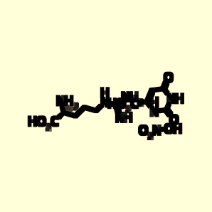 N=C(N)NCCC[C@H](N)C(=O)O.O=C(O)c1cc(=O)[nH]c(=O)[nH]1.O=[N+]([O-])O